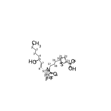 CCCCC[C@H](O)C=C[C@H]1CC(F)(F)C(=O)N1CCCc1ccc(C(=O)O)s1